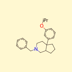 CC(C)Oc1cccc(C23CCCC2CN(Cc2ccccc2)CC3)c1